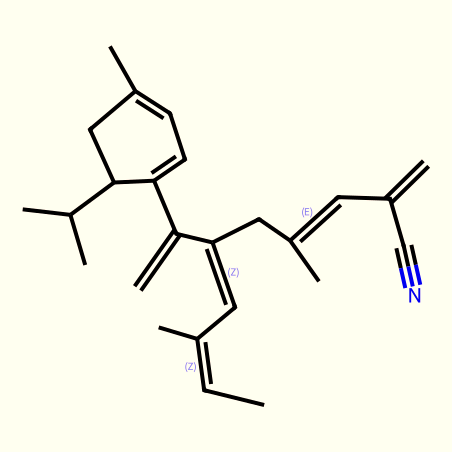 C=C(C#N)/C=C(\C)C/C(=C/C(C)=C\C)C(=C)C1=CC=C(C)CC1C(C)C